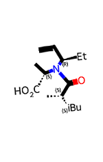 C=C[C@@H](CC)N(C(=O)[C@@H](C)[C@@H](C)CC)[C@@H](C)C(=O)O